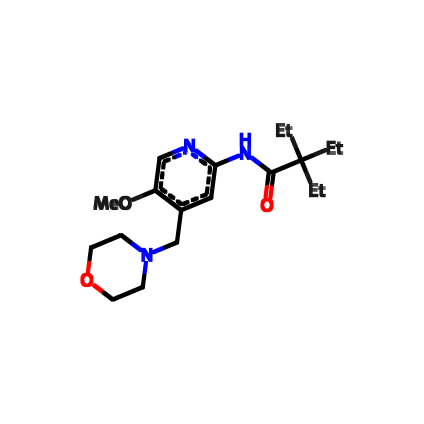 CCC(CC)(CC)C(=O)Nc1cc(CN2CCOCC2)c(OC)cn1